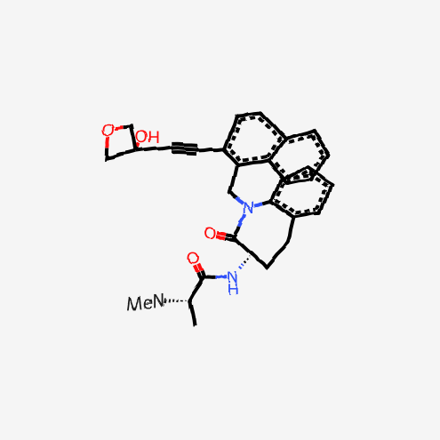 CN[C@@H](C)C(=O)N[C@H]1CCc2ccccc2N(Cc2c(C#CC3(O)COC3)ccc3ccccc23)C1=O